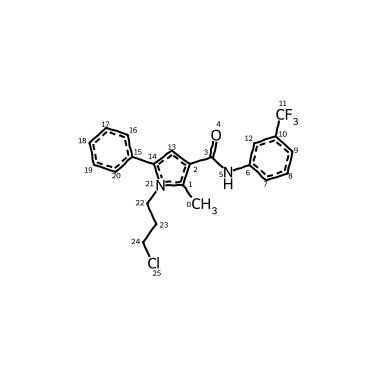 Cc1c(C(=O)Nc2cccc(C(F)(F)F)c2)cc(-c2ccccc2)n1CCCCl